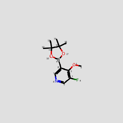 COc1c(F)cncc1B1OC(C)(C)C(C)(C)O1